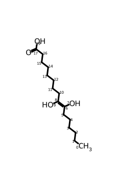 CCCCCCC(O)=C(O)CCCCCCCC(=O)O